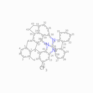 Cc1cccc(C)c1C1c2cc(C(F)(F)F)cc3nc4n(-c5ccccc5-c5ccccc5)c5ccc6c7c(cc1c(c75)n4c23)CC6